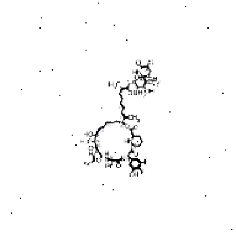 CC[C@H]1C[C@H](C)[C@@]2(NC1=O)O[C@@H](C[C@H](O)[C@@H](C)CC/C=C/C=C(\C)[C@@H]1C/C=C/C=C/[C@H](O)[C@H](C)[C@@H](O)[C@@H](CCC(C)=O)C(=O)N[C@@H](C(C)C)C(=O)NC(c3cc(O)c(F)c(F)c3)C(=O)N3CCCC(N3)C(=O)O1)[C@H](C)[C@H](O)[C@@H]2C